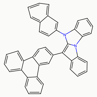 c1ccc2cc(-n3c4ccccc4n4c5ccccc5c(-c5ccc6c7ccccc7c7ccccc7c6c5)c34)ccc2c1